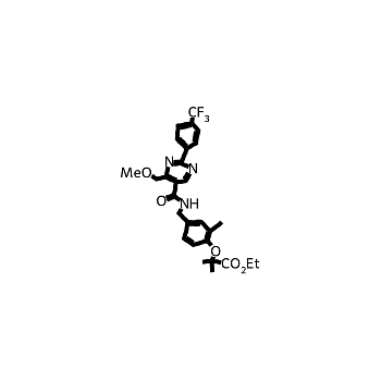 CCOC(=O)C(C)(C)Oc1ccc(CNC(=O)c2cnc(-c3ccc(C(F)(F)F)cc3)nc2COC)cc1C